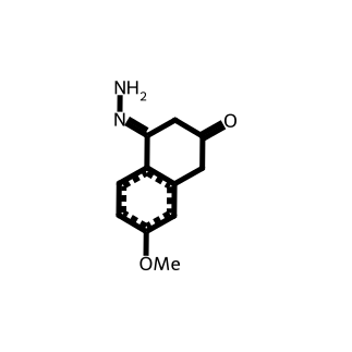 COc1ccc2c(c1)CC(=O)CC2=NN